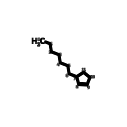 CCCCCCCC1C=CCC1